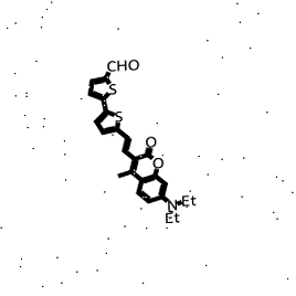 CCN(CC)c1ccc2c(C)c(/C=C/c3ccc(-c4ccc(C=O)s4)s3)c(=O)oc2c1